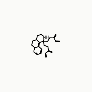 C=CC(=C)CCC1(CCC(=C)C=C)NCCC2CCC3N=CC=CC3=C21